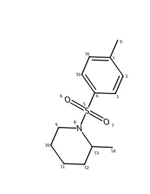 Cc1ccc(S(=O)(=O)N2CCCCC2C)cc1